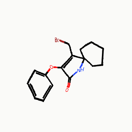 O=C1NC2(CCCCC2)C(CBr)=C1Oc1ccccc1